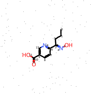 CCC/C(=N\O)c1ccc(C(=O)O)cn1